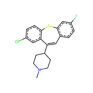 CN1CCC(C2=Cc3ccc(F)cc3Sc3ccc(Cl)cc32)CC1